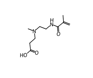 C=C(C)C(=O)NCCN(C)CCC(=O)O